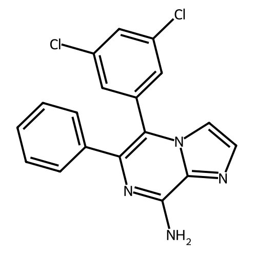 Nc1nc(-c2ccccc2)c(-c2cc(Cl)cc(Cl)c2)n2ccnc12